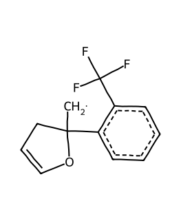 [CH2]C1(c2ccccc2C(F)(F)F)CC=CO1